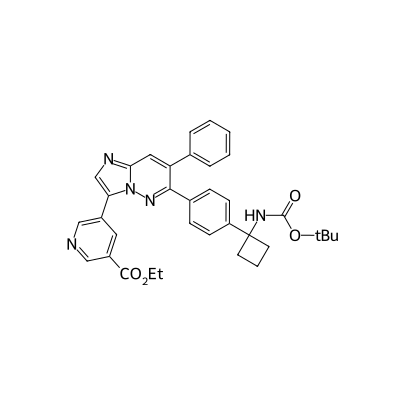 CCOC(=O)c1cncc(-c2cnc3cc(-c4ccccc4)c(-c4ccc(C5(NC(=O)OC(C)(C)C)CCC5)cc4)nn23)c1